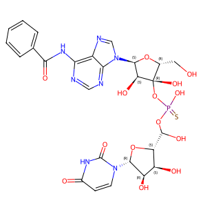 O=C(Nc1ncnc2c1ncn2[C@H]1O[C@H](CO)[C@](O)(OP(O)(=S)OC(O)[C@H]2O[C@@H](n3ccc(=O)[nH]c3=O)[C@H](O)[C@@H]2O)[C@H]1O)c1ccccc1